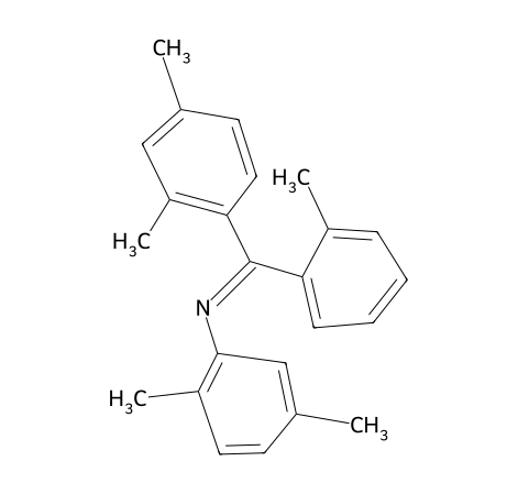 Cc1ccc(C(=Nc2cc(C)ccc2C)c2ccccc2C)c(C)c1